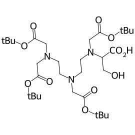 CC(C)(C)OC(=O)CN(CCN(CC(=O)OC(C)(C)C)CC(=O)OC(C)(C)C)CCN(CC(=O)OC(C)(C)C)C(CO)C(=O)O